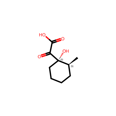 C[C@H]1CCCC[C@@]1(O)C(=O)C(=O)O